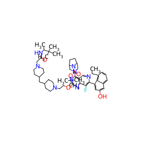 CCc1cccc2cc(O)cc(-c3ncc4c(N5CC6CCC(C5)N6C(=O)OC(C)(C)C)nc(OCCN5CCC(CC6CCN(CC(=O)NC(C)C(C)(C)C)CC6)CC5)nc4c3F)c12